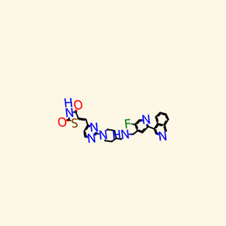 O=C1NC(=O)/C(=C/c2ccnc(N3CCC(CNCc4cc(-c5cncc6ccccc56)ncc4F)CC3)n2)S1